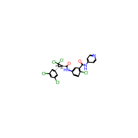 O=C(Nc1ccncc1)c1cc(NC(=O)[C@H]2[C@H](c3cc(Cl)cc(Cl)c3)C2(Cl)Cl)ccc1Cl